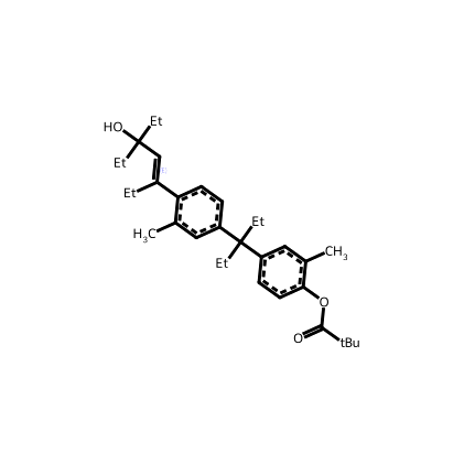 CC/C(=C\C(O)(CC)CC)c1ccc(C(CC)(CC)c2ccc(OC(=O)C(C)(C)C)c(C)c2)cc1C